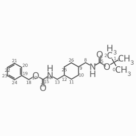 CC(C)(C)OC(=O)NCC1CCC(CNC(=O)OCc2ccccc2)CC1